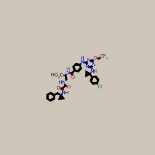 O=C(NC[C@H](NC(=O)c1ccc(Nc2nc(NC3(c4ccc(Cl)cc4)CC3)nc(OCC(F)(F)F)n2)cc1)C(=O)O)C(=O)NC1(Cc2ccccc2)CC1